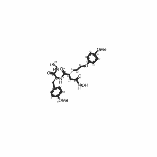 COc1ccc(C[C@H](NC(=O)[C@H](CCCOc2ccc(OC)cc2)CC(=O)NO)C(=O)NC(C)(C)C)cc1